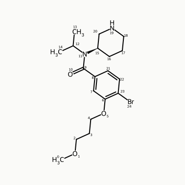 COCCCOc1cc(C(=O)N(C(C)C)[C@@H]2CCCNC2)ccc1Br